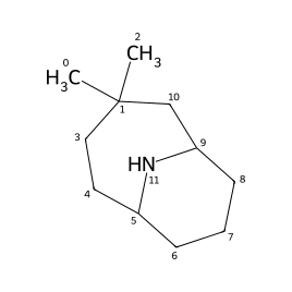 CC1(C)CCC2CCCC(C1)N2